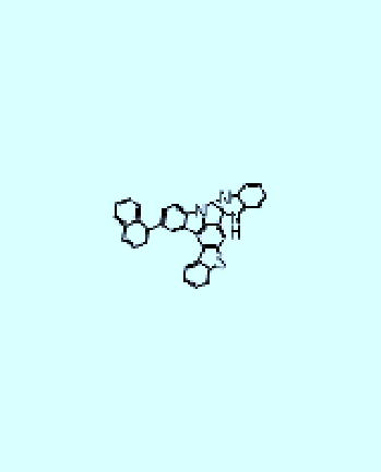 C1=CC2NC34c5cc6sc7ccccc7c6c6c7cc(-c8cccc9ccccc89)ccc7n(c56)C3N4C2C=C1